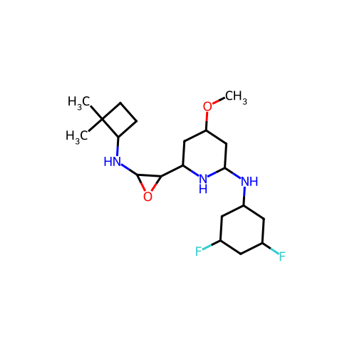 COC1CC(NC2CC(F)CC(F)C2)NC(C2OC2NC2CCC2(C)C)C1